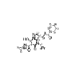 CC(C)Cn1c(=O)c(C(=O)NC2CC2)c(O)n2ncc(C=CC(=O)N3CCCCO3)c12